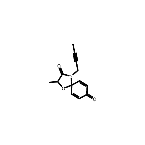 CC#CCN1C(=O)C(C)OC12C=CC(=O)C=C2